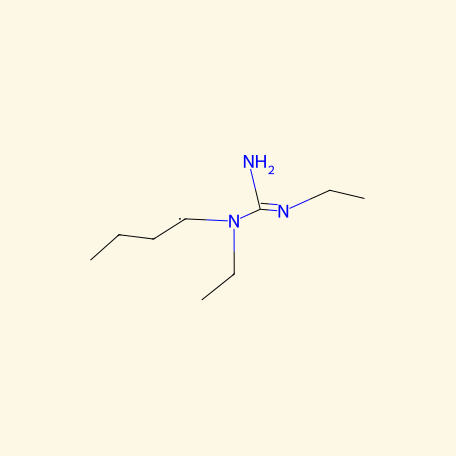 CCC[CH]N(CC)/C(N)=N/CC